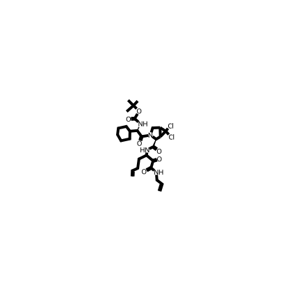 C=CCCC(NC(=O)[C@@H]1C2C(CN1C(=O)[C@@H](NC(=O)OC(C)(C)C)C1CCCCC1)C2(Cl)Cl)C(=O)C(=O)NCC=C